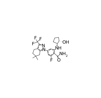 CC1(C)CCc2c(C(F)(F)F)nn(-c3cc(F)c(C(N)=O)c(N[C@H]4CCC[C@@H]4O)c3)c2C1